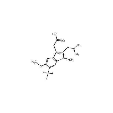 COc1cc2c(CC(=O)O)c(CN(C)C)n(C)c2cc1C(F)(F)F